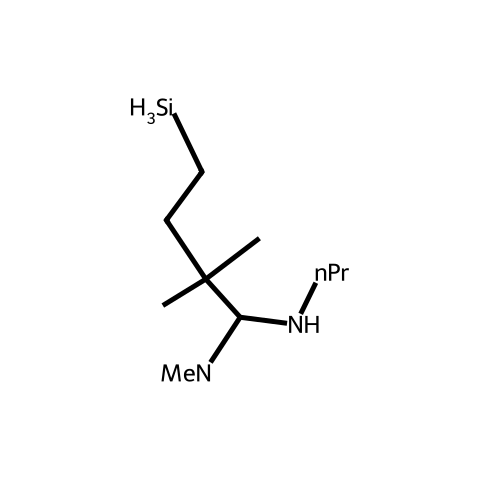 CCCNC(NC)C(C)(C)CC[SiH3]